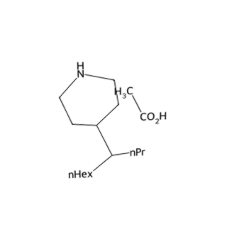 CC(=O)O.CCCCCCC(CCC)C1CCNCC1